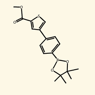 COC(=O)c1cc(-c2ccc(B3OC(C)(C)C(C)(C)O3)cc2)cs1